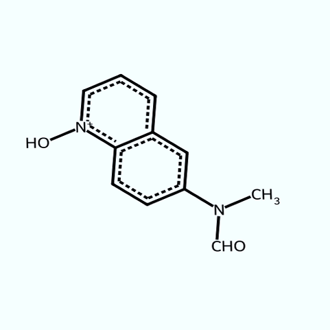 CN(C=O)c1ccc2c(ccc[n+]2O)c1